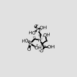 C[C@](CO)(C(=O)O)N(CP(=O)(O)O)CP(=O)(O)O